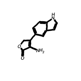 NC1=C(c2ccc3[nH]ccc3c2)COC1=O